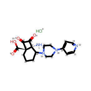 Cl.N[C@@]12C(=O)C(=O)[C@@]1(C(=O)O)CCCC2N1CCN(c2ccncc2)CC1